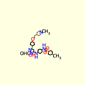 Cc1ccc(S(=O)(=O)Nc2ccc(Nc3cc(-c4ccc(OCCC5CCN(C)CC5)cc4)ncn3)cc2)cc1.O=CO